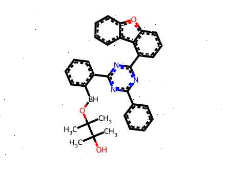 CC(C)(O)C(C)(C)OBc1ccccc1-c1nc(-c2ccccc2)nc(-c2cccc3oc4ccccc4c23)n1